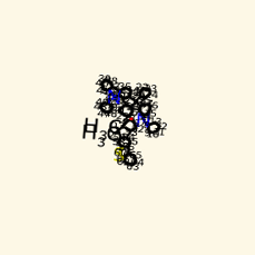 CC1(C)c2ccc(N(c3ccccc3)c3cccc(C4(c5ccccc5)c5ccccc5-c5c4ccc4c6ccccc6n(-c6ccccc6)c54)c3)cc2-c2cc3c(cc21)sc1ccccc13